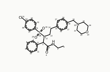 CCNC(=O)C(c1ccccc1)N(CCc1ccc(CN2CCOCC2)cc1)S(=O)(=O)c1ccc(Cl)cc1